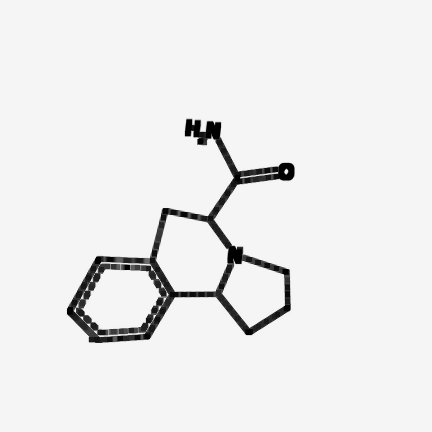 NC(=O)C1Cc2cc[c]cc2C2CCCN12